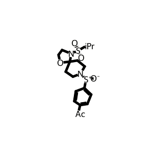 CC(=O)c1ccc([S+]([O-])N2CCC3(CC2)OCCN3S(=O)(=O)C(C)C)cc1